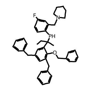 CCC(C)(Pc1ccc(F)cc1CN1CCCCC1)c1cc(Cc2ccccc2)cc(Cc2ccccc2)c1OCc1ccccc1